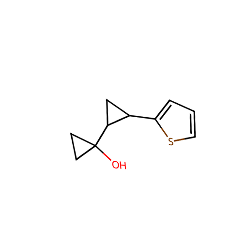 OC1(C2CC2c2cccs2)CC1